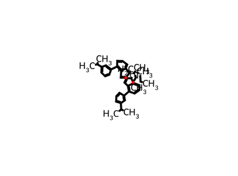 [CH2]=[Hf]([CH3])([CH3])([CH2]CC)([CH2]CC)([CH]1C=Cc2c(-c3cccc(C(C)C)c3)cccc21)[CH]1C=Cc2c(-c3cccc(C(C)C)c3)cccc21